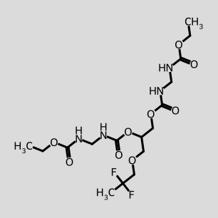 CCOC(=O)NCNC(=O)OCC(COCC(C)(F)F)OC(=O)NCNC(=O)OCC